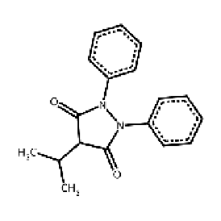 CC(C)C1C(=O)N(c2ccccc2)N(c2ccccc2)C1=O